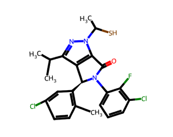 Cc1ccc(Cl)cc1[C@H]1c2c(C(C)C)nn(C(C)S)c2C(=O)N1c1cccc(Cl)c1F